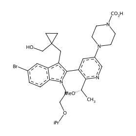 CO[C@@H](C)c1ncc(N2CCN(C(=O)O)CC2)cc1-c1c(CC2(CO)CC2)c2cc(Br)ccc2n1CCOC(C)C